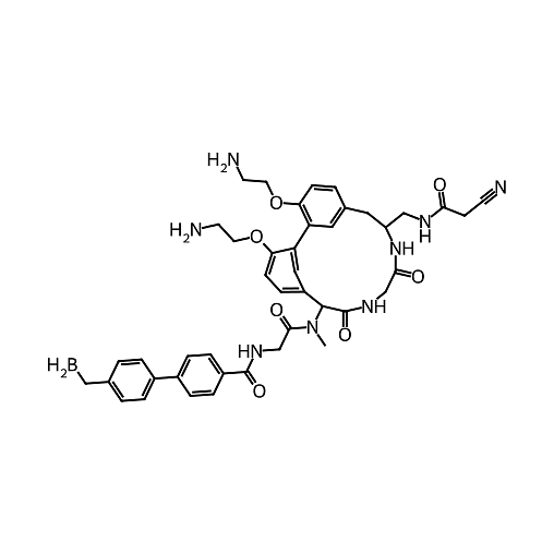 BCc1ccc(-c2ccc(C(=O)NCC(=O)N(C)C3C(=O)NCC(=O)NC(CNC(=O)CC#N)Cc4ccc(OCCN)c(c4)-c4cc3ccc4OCCN)cc2)cc1